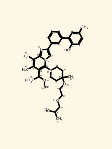 Cc1ccc(O)c(-c2cccc(-c3cn4c(N5CCC(C)(OCCOCC(C)O)CC5)c(C(OC(C)(C)C)C(=O)O)c(C)c(C)c4n3)c2)c1